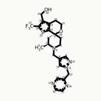 C[C@H]1C[C@@]2(CCN1Cc1cnn(Cc3cnccn3)c1)OCCc1c2sc(C(F)(F)F)c1CO